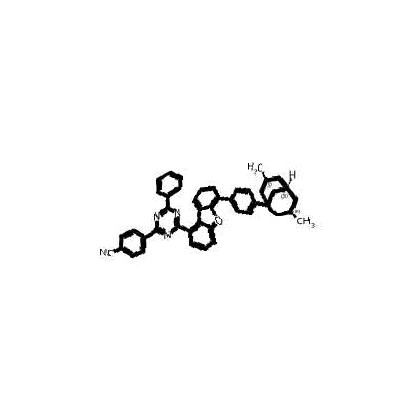 C[C@@H]1C[C@@H]2C[C@H](C)CC(c3ccc(-c4cccc5c4oc4cccc(-c6nc(-c7ccccc7)nc(-c7ccc(C#N)cc7)n6)c45)cc3)(C1)C2